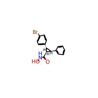 O=C(NO)[C@@H]1[C@H](c2ccccc2)[C@H]1c1ccc(Br)cc1